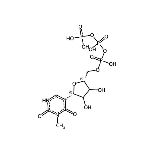 Cn1c(=O)[nH]cc([C@@H]2O[C@H](COP(=O)(O)OP(=O)(O)OP(=O)(O)O)C(O)C2O)c1=O